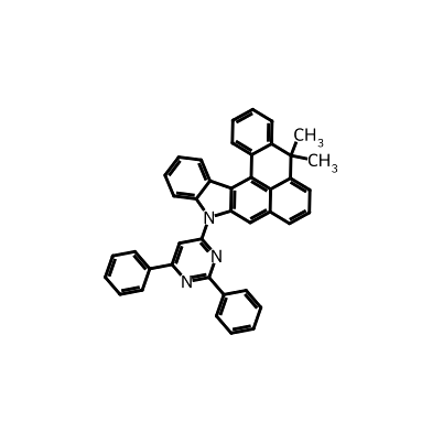 CC1(C)c2ccccc2-c2c3c1cccc3cc1c2c2ccccc2n1-c1cc(-c2ccccc2)nc(-c2ccccc2)n1